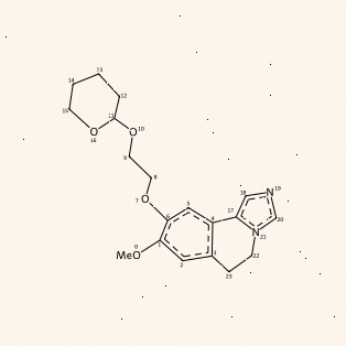 COc1cc2c(cc1OCCOC1CCCCO1)-c1cncn1CC2